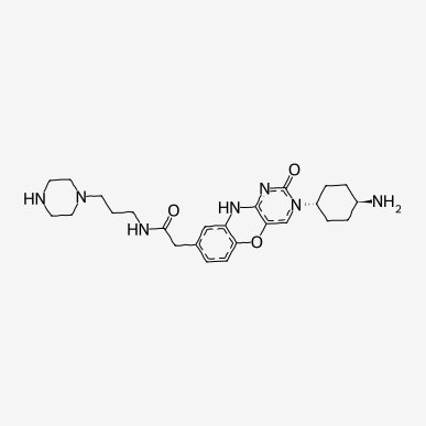 N[C@H]1CC[C@H](n2cc3c(nc2=O)Nc2cc(CC(=O)NCCCN4CCNCC4)ccc2O3)CC1